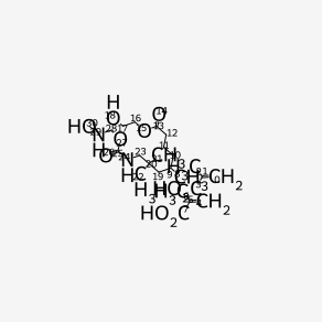 C=C(C)C(=O)O.C=C(C)C(=O)O.CC(CCCC(=O)OCCO)CC(C)(C)CNC(=O)OCNO